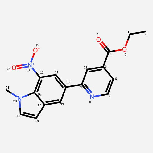 CCOC(=O)c1ccnc(-c2cc([N+](=O)[O-])c3c(ccn3C)c2)c1